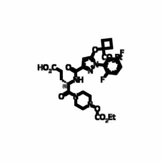 CCOC(=O)ON1CCN(C(=O)[C@H](CCC(=O)O)NC(=O)c2cc(OC3(C(=O)OCC)CCC3)n(-c3cc(F)ccc3F)n2)CC1